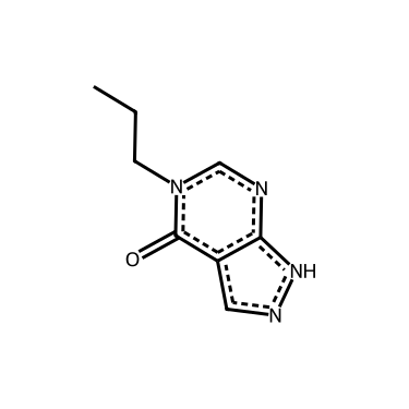 CCCn1cnc2[nH]ncc2c1=O